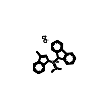 CC1=C[CH]([Zr+2]([CH]2c3ccccc3-c3ccccc32)=[Si](C)C)c2ccccc21.[Cl-].[Cl-]